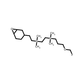 C[Si](C)(CCCOCF)CC[Si](C)(C)CCC1CCC2OC2C1